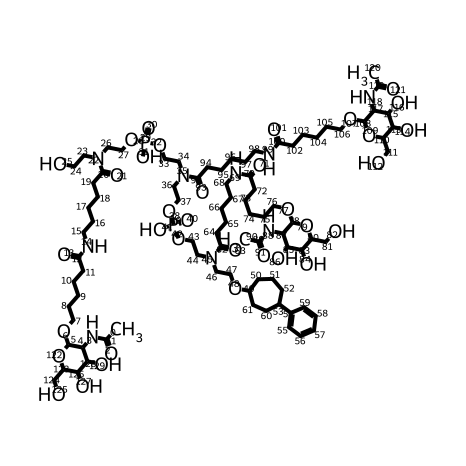 CC(=O)NC1C(OCCCCCC(=O)NCCCCCC(=O)N(CCO)CCOP(=O)(O)OCCN(CCOP(=O)(O)OCCN(CCOC2CCCC(c3ccccc3)CC2)C(=O)CCCCCNC(=O)CCCCCOC2OC(CO)C(O)C(O)C2NC(C)=O)C(=O)CCCCCNC(=O)CCCCCOC2OC(CO)C(O)C(O)C2NC(C)=O)OC(CO)C(O)C1O